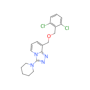 Clc1cccc(Cl)c1COCc1cccn2c(N3CCCCC3)nnc12